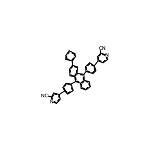 N#Cc1cc(-c2ccc(-c3c4ccccc4c(-c4ccc(-c5ccnc(C#N)c5)cc4)c4cc(-c5ccccc5)ccc34)cc2)ccn1